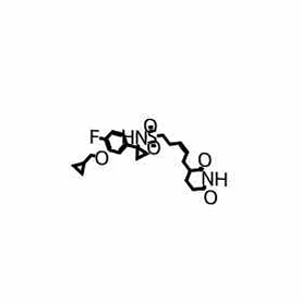 O=C1CCC(C/C=C\CCS(=O)(=O)NC2(c3ccc(F)c(OCC4CC4)c3)CC2)C(=O)N1